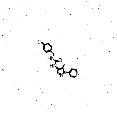 Cc1c(NC(=O)NCc2ccc(Cl)cc2)cnn1-c1ccncc1